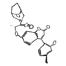 Cc1ccc(-c2cc(=O)oc3cc(O[C@H](C)C(=C=O)N4CC5CCC(C4)O5)ccc23)c(Cl)c1